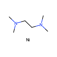 CN(C)CCN(C)C.[Ni]